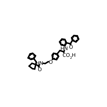 O=C(c1ccccc1)c1ccccc1NC(Cc1ccc(OCCNC(=O)C2(Cc3ccccc3)CCCC2)cc1)C(=O)O